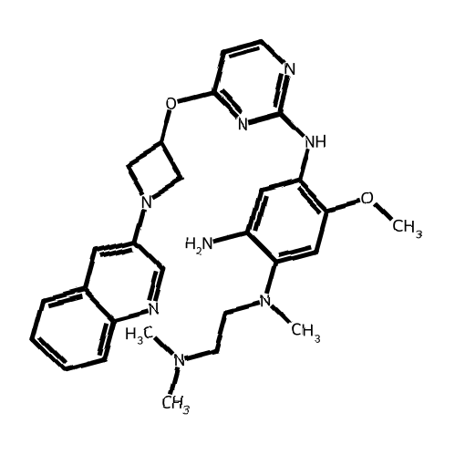 COc1cc(N(C)CCN(C)C)c(N)cc1Nc1nccc(OC2CN(c3cnc4ccccc4c3)C2)n1